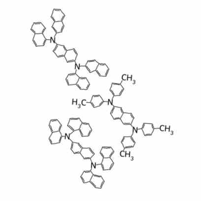 Cc1ccc(N(c2ccc(C)cc2)c2ccc3cc(N(c4ccc(C)cc4)c4ccc(C)cc4)ccc3c2)cc1.c1ccc2c(N(c3ccc4cc(N(c5cccc6ccccc56)c5cccc6ccccc56)ccc4c3)c3cccc4ccccc34)cccc2c1.c1ccc2cc(N(c3ccc4cc(N(c5ccc6ccccc6c5)c5cccc6ccccc56)ccc4c3)c3cccc4ccccc34)ccc2c1